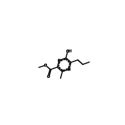 CCCc1nc(C)c(C(=O)OC)nc1O